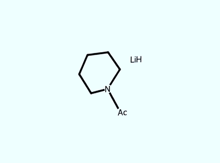 CC(=O)N1CCCCC1.[LiH]